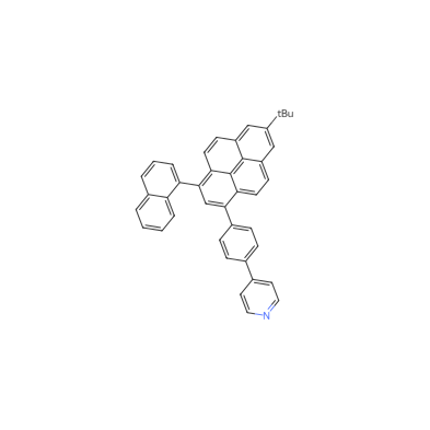 CC(C)(C)c1cc2ccc3c(-c4ccc(-c5ccncc5)cc4)cc(-c4cccc5ccccc45)c4ccc(c1)c2c34